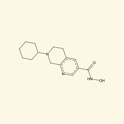 O=C(NO)c1cnc2c(c1)CCN(C1CCCCC1)C2